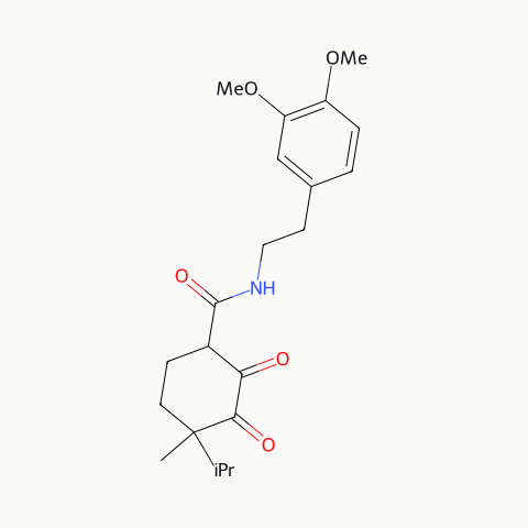 COc1ccc(CCNC(=O)C2CCC(C)(C(C)C)C(=O)C2=O)cc1OC